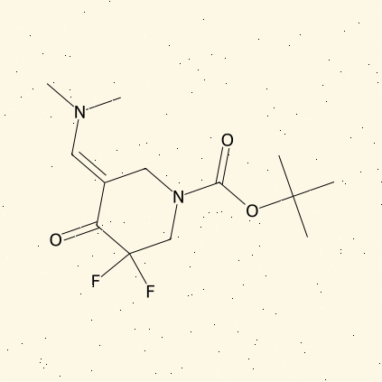 CN(C)/C=C1\CN(C(=O)OC(C)(C)C)CC(F)(F)C1=O